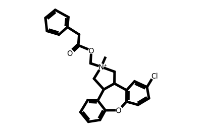 C[N+]1(COC(=O)Cc2ccccc2)CC2c3ccccc3Oc3ccc(Cl)cc3C2C1